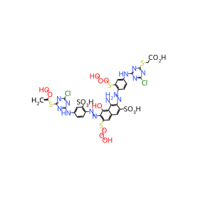 C=C(OO)Sc1nc(Cl)nc(Nc2ccc(N=Nc3c(SOOO)cc4cc(S(=O)(=O)O)c(N=Nc5ccc(Nc6nc(Cl)nc(SCC(=O)O)n6)cc5SOOO)c(N)c4c3O)c(S(=O)(=O)O)c2)n1